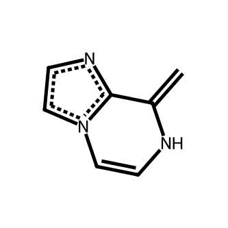 C=C1NC=Cn2ccnc21